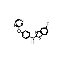 Fc1ccc2sc(Nc3ccc(Oc4cnccn4)cc3)nc2c1